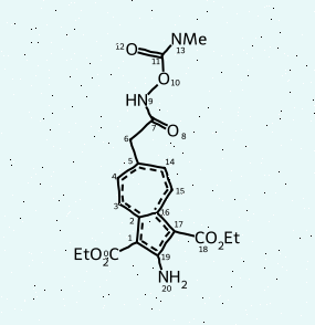 CCOC(=O)c1c2ccc(CC(=O)NOC(=O)NC)ccc-2c(C(=O)OCC)c1N